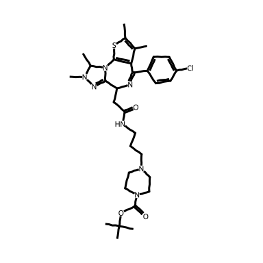 Cc1sc2c(c1C)C(c1ccc(Cl)cc1)=NC(CC(=O)NCCCN1CCN(C(=O)OC(C)(C)C)CC1)C1=NN(C)C(C)N12